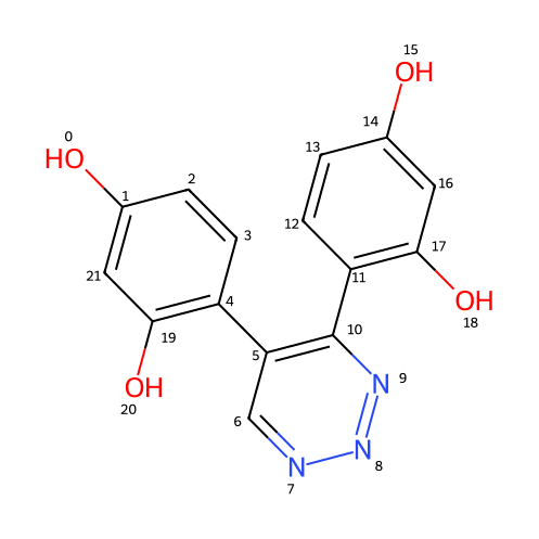 Oc1ccc(-c2cnnnc2-c2ccc(O)cc2O)c(O)c1